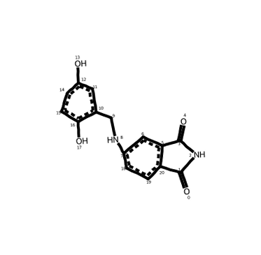 O=C1NC(=O)c2cc(NCc3cc(O)ccc3O)ccc21